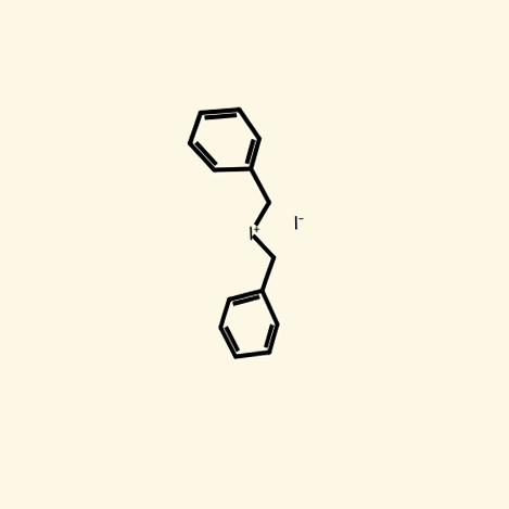 [I-].c1ccc(C[I+]Cc2ccccc2)cc1